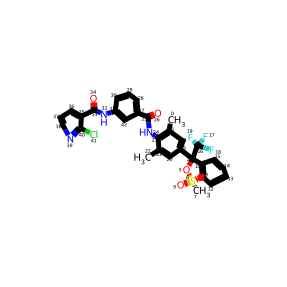 Cc1cc(C(OS(C)(=O)=O)(c2ccccc2)C(F)(F)F)cc(C)c1NC(=O)c1cccc(NC(=O)c2cccnc2Cl)c1